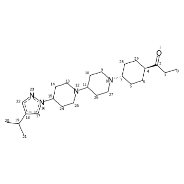 CCC(=O)[C@H]1CC[C@H](N2CCC(N3CCC(n4cc(C(C)C)cn4)CC3)CC2)CC1